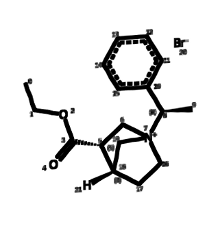 CCOC(=O)[C@@H]1C[N+]2([C@H](C)c3ccccc3)CC[C@H]1C2.[Br-]